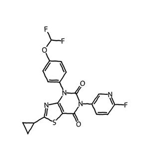 O=c1c2sc(C3CC3)nc2n(-c2ccc(OC(F)F)cc2)c(=O)n1-c1ccc(F)nc1